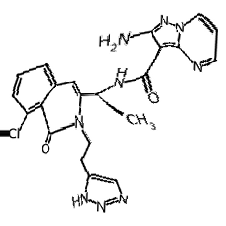 C[C@H](NC(=O)c1c(N)nn2cccnc12)c1cc2cccc(Cl)c2c(=O)n1CCc1cnn[nH]1